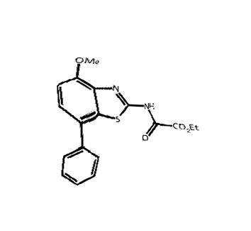 CCOC(=O)C(=O)Nc1nc2c(OC)ccc(-c3ccccc3)c2s1